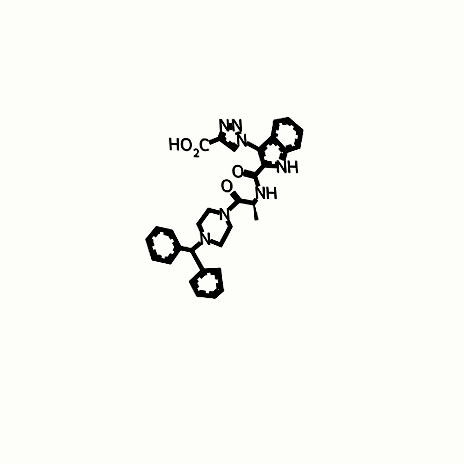 C[C@H](NC(=O)c1[nH]c2ccccc2c1-n1cc(C(=O)O)nn1)C(=O)N1CCN(C(c2ccccc2)c2ccccc2)CC1